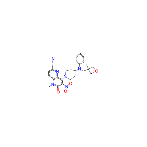 Cn1c(=O)c([N+](=O)[O-])c(N2CCC(N(CC3(C)COC3)c3ccccc3)CC2)c2nc(C#N)ccc21